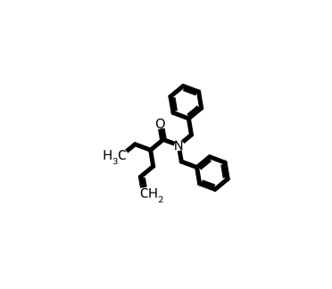 C=CCC(CC)C(=O)N(Cc1ccccc1)Cc1ccccc1